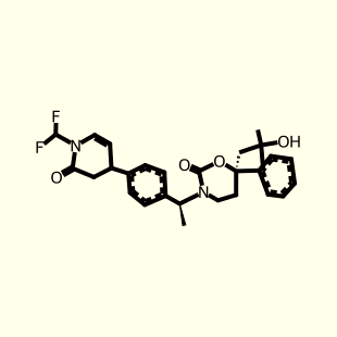 C[C@@H](c1ccc(C2C=CN(C(F)F)C(=O)C2)cc1)N1CC[C@](CC(C)(C)O)(c2ccccc2)OC1=O